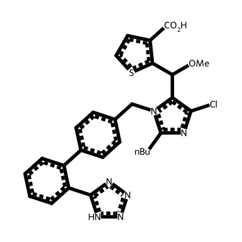 CCCCc1nc(Cl)c(C(OC)c2sccc2C(=O)O)n1Cc1ccc(-c2ccccc2-c2nnn[nH]2)cc1